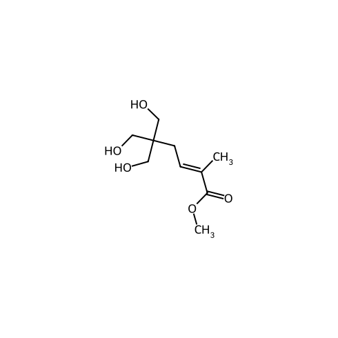 COC(=O)C(C)=CCC(CO)(CO)CO